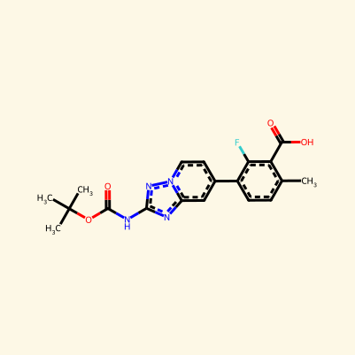 Cc1ccc(-c2ccn3nc(NC(=O)OC(C)(C)C)nc3c2)c(F)c1C(=O)O